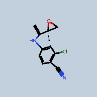 C=C(Nc1ccc(C#N)c(Cl)c1)[C@]1(C)CO1